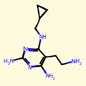 NCCc1c(N)nc(N)nc1NCC1CC1